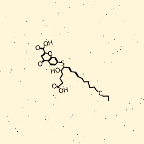 CCCCCCCCCCC=C/C=C/[C@@H](Sc1ccc2c(=O)cc(C(=O)O)oc2c1)[C@@H](O)CCCC(=O)O